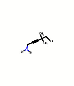 CCN(CC)CC#CC(C)(C)CC(C)C